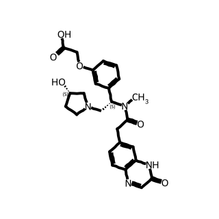 CN(C(=O)Cc1ccc2ncc(=O)[nH]c2c1)[C@H](CN1CC[C@H](O)C1)c1cccc(OCC(=O)O)c1